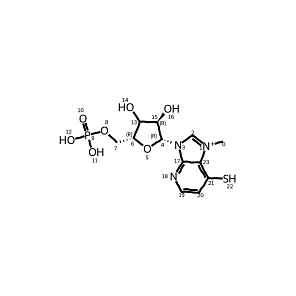 C[n+]1cn([C@@H]2O[C@H](COP(=O)(O)O)C(O)[C@H]2O)c2nccc(S)c21